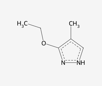 CCOc1n[nH]cc1C